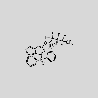 O=P(c1ccccc1)(c1ccccc1)c1nc(OS(=O)(=O)C(F)(F)C(F)(F)C(F)(F)C(F)(F)F)cc2ccccc12